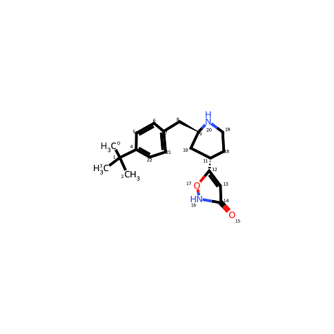 CC(C)(C)c1ccc(C[C@@H]2C[C@@H](c3cc(=O)[nH]o3)CCN2)cc1